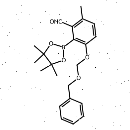 Cc1ccc(OCOCc2ccccc2)c(B2OC(C)(C)C(C)(C)O2)c1C=O